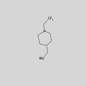 CC(C)(C)CC1CCN(CC(F)(F)F)CC1